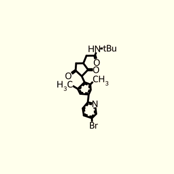 Cc1cc(-c2ccc(Br)cn2)cc(C)c1C1C(=O)CC(CC(=O)NC(C)(C)C)C1=O